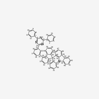 c1ccc(-c2nc(-c3ccccc3)nc(-c3cccc(-c4cccc(C5(c6ccccc6)c6ccccc6-n6c7ccccc7c7cccc5c76)c4)c3)n2)cc1